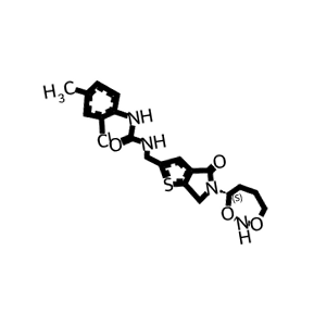 Cc1ccc(NC(=O)NCc2cc3c(s2)CN([C@@H]2CCCONO2)C3=O)c(Cl)c1